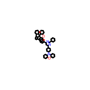 c1ccc(-c2nc(-c3ccc(-c4cccc5c4C4(c6ccccc6Oc6ccccc64)c4ccccc4-5)cc3)cc(-c3ccc(N4c5ccccc5Oc5ccccc54)cc3)n2)cc1